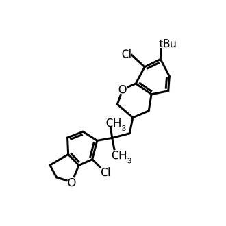 CC(C)(C)c1ccc2c(c1Cl)OCC(CC(C)(C)c1ccc3c(c1Cl)OCC3)C2